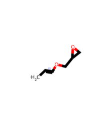 [CH2]/C=C/OCC1CO1